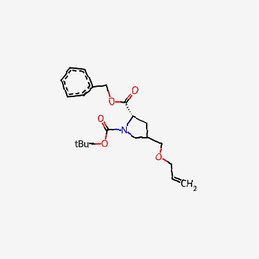 C=CCOCC1C[C@@H](C(=O)OCc2ccccc2)N(C(=O)OC(C)(C)C)C1